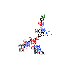 CC(C)C[C@H](NC(=O)OC(C)(C)C)C(=O)NCCC(=O)OC[C@H](COc1ccc(-c2c(C#N)c(N)nc(SCc3coc(-c4ccc(Cl)cc4)n3)c2C#N)cc1)OC(=O)CCNC(=O)[C@H](CC(C)C)NC(=O)OC(C)(C)C